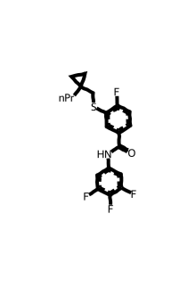 CCCC1(CSc2cc(C(=O)Nc3cc(F)c(F)c(F)c3)ccc2F)CC1